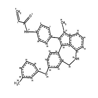 C=CC(=O)Nc1ccc(-c2c3c4c(ncnc4n2C)NCc2cc(Oc4cccc(C)n4)ccc2-3)nc1